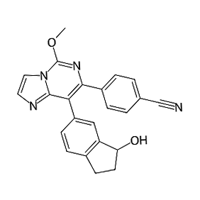 COc1nc(-c2ccc(C#N)cc2)c(-c2ccc3c(c2)C(O)CC3)c2nccn12